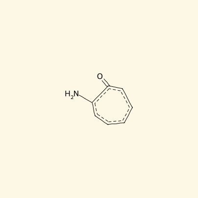 Nc1cccccc1=O